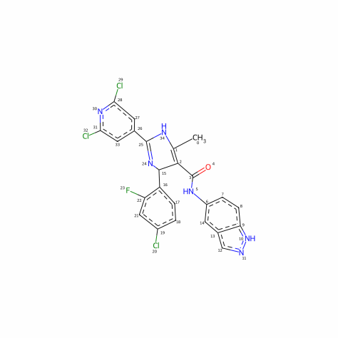 CC1=C(C(=O)Nc2ccc3[nH]ncc3c2)C(c2ccc(Cl)cc2F)N=C(c2cc(Cl)nc(Cl)c2)N1